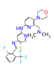 CN(C)Cc1nc(Nc2cc3nc(-c4c(F)cccc4C(F)(F)F)sc3cn2)ccc1N1CCOCC1